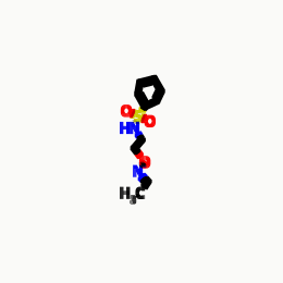 CC=NOCCNS(=O)(=O)c1ccccc1